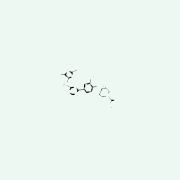 Cc1nc(C)c(Nc2ncnc(-c3ccc(O[C@H]4CCN(C(=O)OC(C)(C)C)C[C@H]4F)c(C#N)c3)n2)s1